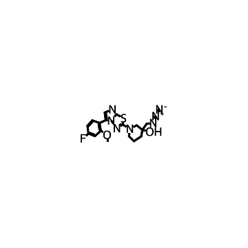 COc1cc(F)ccc1-c1cnc2sc(N3CCCC(O)(CN=[N+]=[N-])C3)nn12